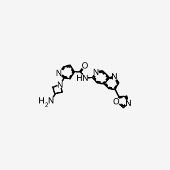 NC1CN(c2cc(C(=O)Nc3cc4cc(-c5cnco5)cnc4cn3)ccn2)C1